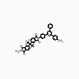 Cc1ccc(-c2cc(-c3ccccc3)cc(-c3ccc(N4C(=O)c5ccc(C(c6ccc7c(c6)C(=O)N(C)C7=O)(C(F)(F)F)C(F)(F)F)cc5C4=O)cc3)n2)cc1